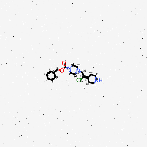 O=C(OCc1ccccc1)N1CCN(CC(Cl)=C2CCNCC2)CC1